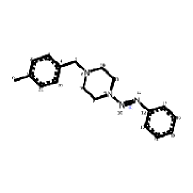 Cc1ccc(CN2CCN(/N=N/c3ccccc3)CC2)cc1